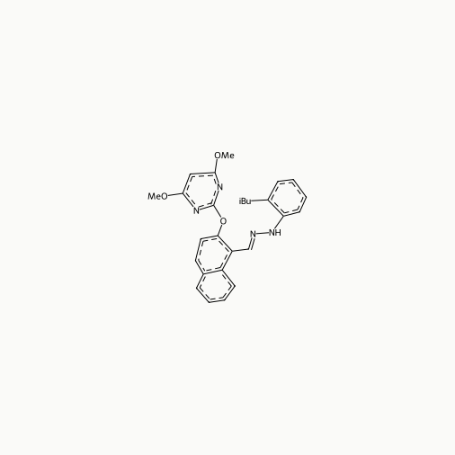 CCC(C)c1ccccc1N/N=C/c1c(Oc2nc(OC)cc(OC)n2)ccc2ccccc12